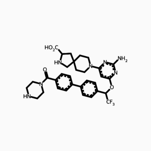 Nc1nc(OC(c2ccc(-c3ccc(C(=O)N4CCNCC4)cc3)cc2)C(F)(F)F)cc(N2CCC3(CC2)CNC(C(=O)O)C3)n1